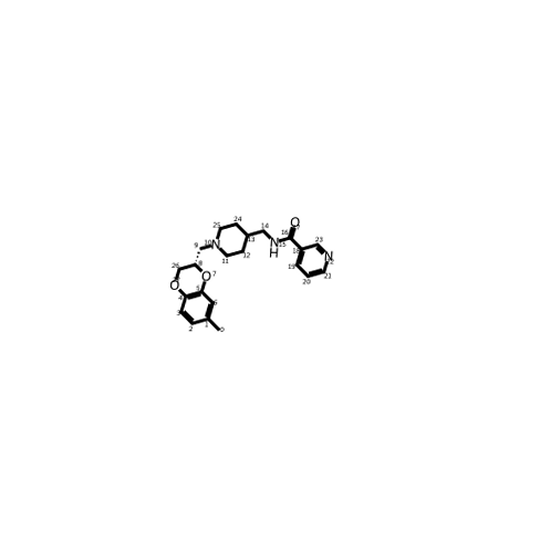 Cc1ccc2c(c1)O[C@@H](CN1CCC(CNC(=O)c3cccnc3)CC1)CO2